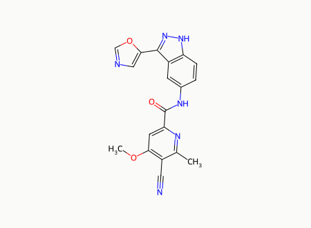 COc1cc(C(=O)Nc2ccc3[nH]nc(-c4cnco4)c3c2)nc(C)c1C#N